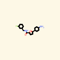 Nc1ccc(-c2ccc(C(=O)NCc3cccc(F)c3)o2)cc1